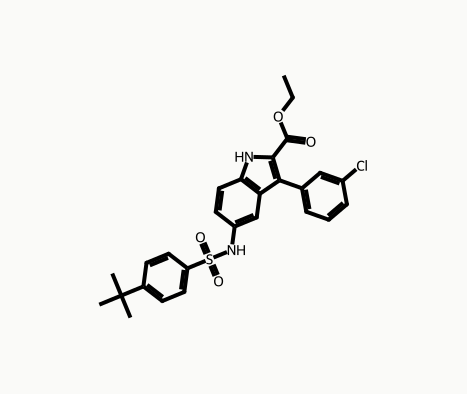 CCOC(=O)c1[nH]c2ccc(NS(=O)(=O)c3ccc(C(C)(C)C)cc3)cc2c1-c1cccc(Cl)c1